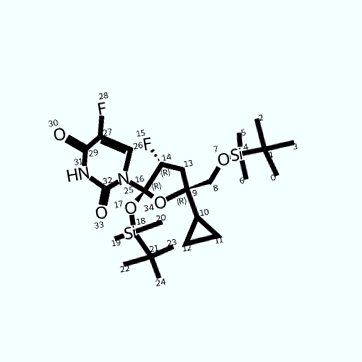 CC(C)(C)[Si](C)(C)OC[C@]1(C2CC2)C[C@@H](F)[C@@](O[Si](C)(C)C(C)(C)C)(n2cc(F)c(=O)[nH]c2=O)O1